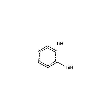 [LiH].[TeH]c1ccccc1